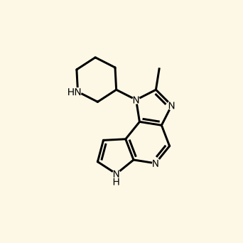 Cc1nc2cnc3[nH]ccc3c2n1C1CCCNC1